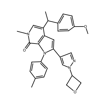 COc1ccc(C(C)c2cn(C)c(=O)c3c2cc(-c2cnn(C4COC4)c2)n3-c2ccc(C)cc2)cc1